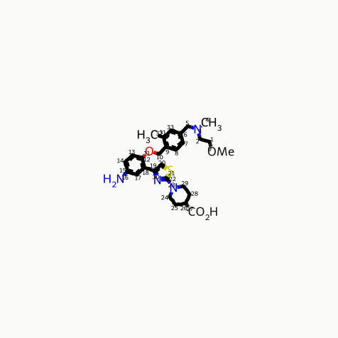 COCCN(C)Cc1ccc(COc2ccc(N)cc2-c2csc(N3CCC(C(=O)O)CC3)n2)c(C)c1